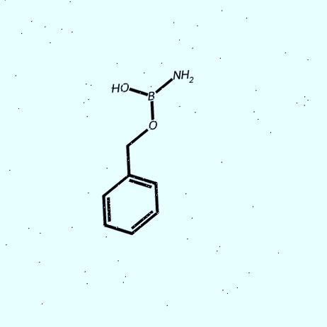 NB(O)OCc1ccccc1